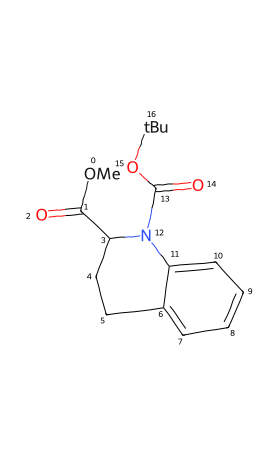 COC(=O)C1CCc2ccccc2N1C(=O)OC(C)(C)C